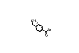 NCc1ccc(C(=O)Br)cc1